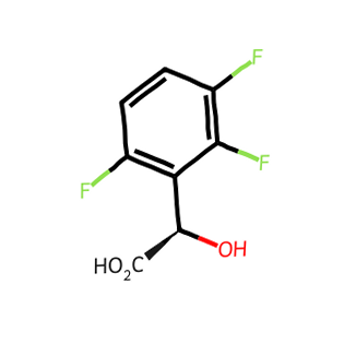 O=C(O)[C@H](O)c1c(F)ccc(F)c1F